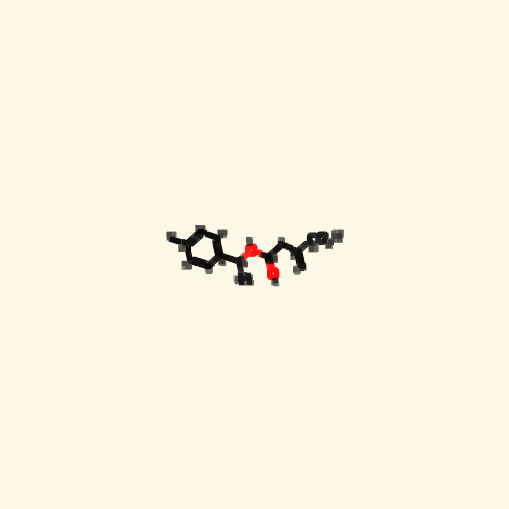 C=C(CC(=O)OC(CC)c1ccc(C)cc1)C(=O)O